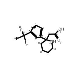 O=C(O)CC1(c2cccc(C(F)(F)F)c2)CCCCN1